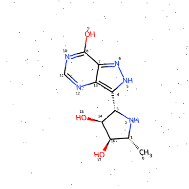 C[C@H]1N[C@@H](c2[nH]nc3c(O)ncnc23)[C@H](O)[C@@H]1O